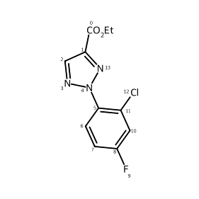 CCOC(=O)c1cnn(-c2ccc(F)cc2Cl)n1